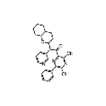 O=C(c1nc(-c2ccccc2)c(O)nc1O)N(c1cccnc1)C1CCC2CCCCC2O1